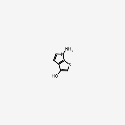 Nn1ccc2c(O)csc21